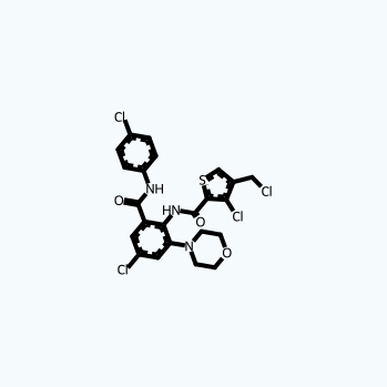 O=C(Nc1ccc(Cl)cc1)c1cc(Cl)cc(N2CCOCC2)c1NC(=O)c1scc(CCl)c1Cl